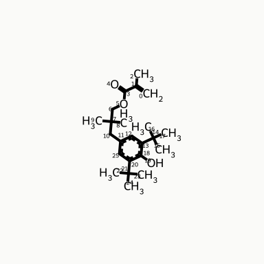 C=C(C)C(=O)OCC(C)(C)Cc1cc(C(C)(C)C)c(O)c(C(C)(C)C)c1